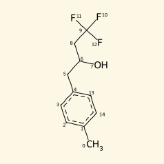 Cc1ccc(CC(O)CC(F)(F)F)cc1